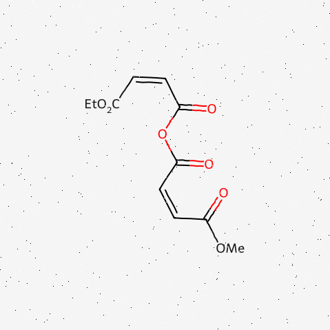 CCOC(=O)/C=C\C(=O)OC(=O)/C=C\C(=O)OC